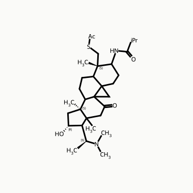 CC(=O)SC[C@]1(C)C(NC(=O)C(C)C)CCC23CC24C(=O)CC2(C)C([C@H](C)N(C)C)[C@H](O)C[C@@]2(C)C4CCC31